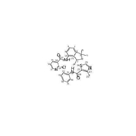 CC1CC(C)(C)c2cccc(NC(=O)c3cccnc3Cl)c21.Cc1ncsc1C(=O)Nc1ccccc1